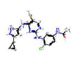 CC(=O)Nc1ccc(Cl)c(Nc2ncc(Br)c(Nc3cc(C4CC4)n[nH]3)n2)c1